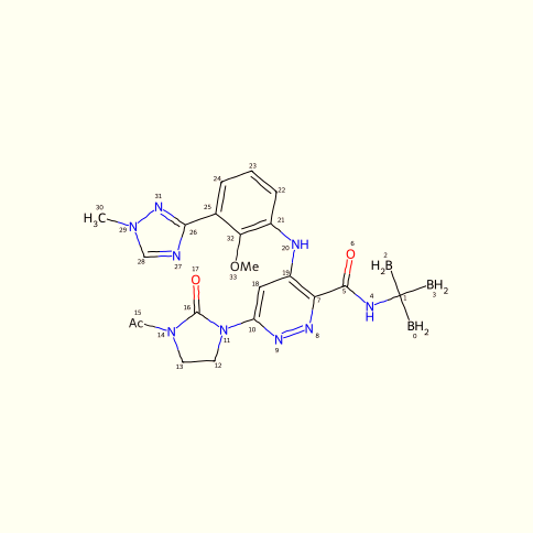 BC(B)(B)NC(=O)c1nnc(N2CCN(C(C)=O)C2=O)cc1Nc1cccc(-c2ncn(C)n2)c1OC